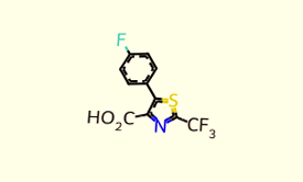 O=C(O)c1nc(C(F)(F)F)sc1-c1ccc(F)cc1